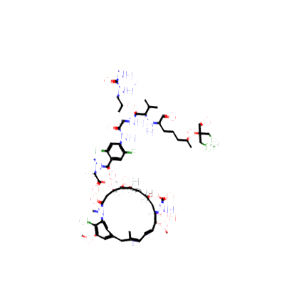 COc1cc2cc(c1Cl)N(C)C(=O)C[C@H](OC(=O)[C@H](C)N(C)C(=O)c1cc(F)c(NC(=O)[C@H](CCCNC(N)=O)NC(=O)[C@@H](NC(C=O)CCCC(C)OC(C=O)(CBr)CBr)C(C)C)cc1F)[C@]1(C)O[C@H]1[C@H](C)[C@@H]1C[C@@](O)(NC(=O)O1)[C@H](OC)/C=C/C=C(\C)C2